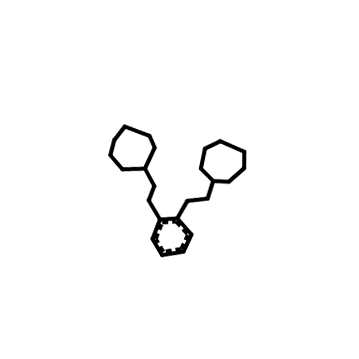 c1ccc(CCC2CCCCCC2)c(CCC2CCCCCC2)c1